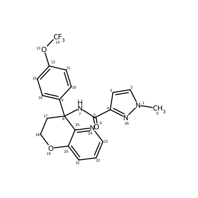 Cn1ccc(C(=O)NC2(c3ccc(OC(F)(F)F)cc3)CCOc3cccnc32)n1